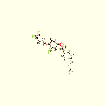 C=CCCC1CCC(C(F)(F)Oc2ccc(O/C=C/C(F)F)c(F)c2)CC1